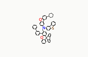 c1ccc(-c2cccc(-c3c(CN(c4ccc5oc6ccc(C7CCCCC7)cc6c5c4)c4ccc5sc6ccccc6c5c4)ccc4c3Oc3ccccc3C43c4ccccc4-c4ccccc43)c2)cc1